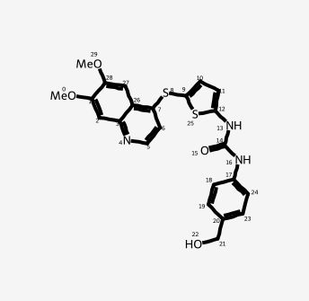 COc1cc2nccc(Sc3ccc(NC(=O)Nc4ccc(CO)cc4)s3)c2cc1OC